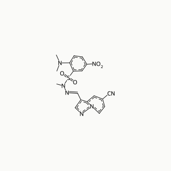 CN(C)c1ccc([N+](=O)[O-])cc1S(=O)(=O)N(C)N=Cc1cnn2ccc(C#N)cc12